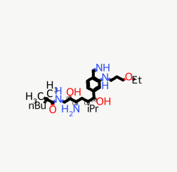 CCCCC(C)(C)C(=O)NC[C@H](O)[C@@H](N)C[C@@H](C(C)C)[C@H](O)c1ccc(C=N)c(NCCCOCC)c1